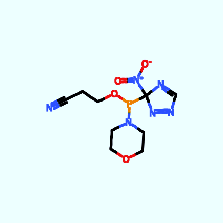 N#CCCOP(N1CCOCC1)C1([N+](=O)[O-])N=CN=N1